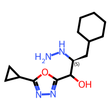 NN[C@@H](CC1CCCCC1)C(O)c1nnc(C2CC2)o1